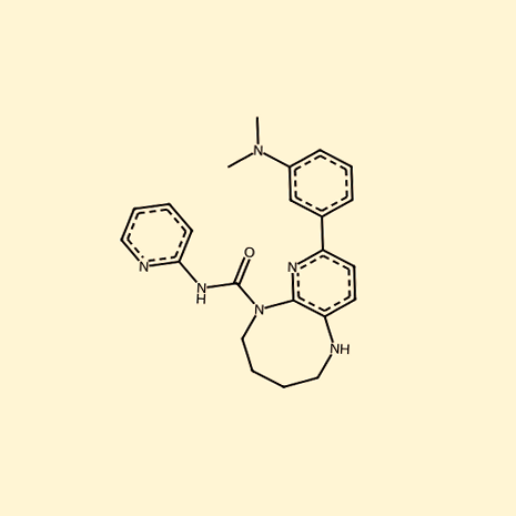 CN(C)c1cccc(-c2ccc3c(n2)N(C(=O)Nc2ccccn2)CCCCN3)c1